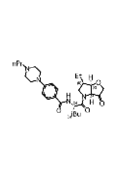 CCCN1CCN(c2ccc(C(=O)N[C@H](C(=O)N3C[C@@H](CC)[C@H]4OCC(=O)[C@H]43)[C@@H](C)CC)cc2)CC1